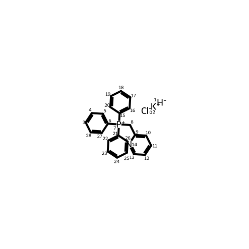 [Cl-].[H-].[K+].c1ccc([P+](Cc2ccccn2)(c2ccccc2)c2ccccc2)cc1